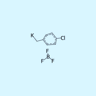 Clc1ccc([CH2][K])cc1.FB(F)F